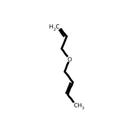 C=CCOC/C=C/C